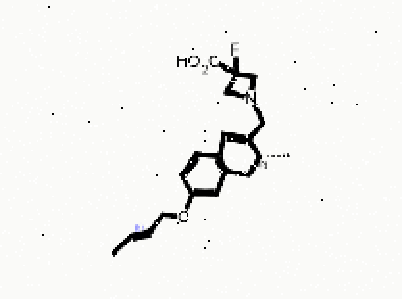 C/C=C/COc1ccc2c(c1)C[C@@H](C)C(CN1CC(F)(C(=O)O)C1)=C2